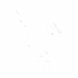 CN1CCN(c2ccc3c(c2)cc(Br)c2c4c(ccc23)CC(c2ccc3ccccc3c2N2CCOCC2)CC4)CC1.N=[N+]=N.O=C1C2=CC=C1C=C2